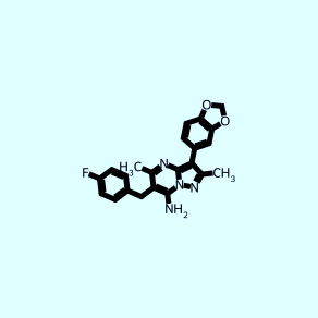 Cc1nc2c(-c3ccc4c(c3)OCO4)c(C)nn2c(N)c1Cc1ccc(F)cc1